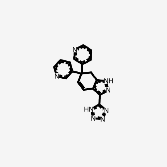 C1=CC(c2cccnc2)(c2cccnc2)Cc2[nH]nc(-c3nnn[nH]3)c21